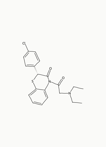 CCN(CC)CC(=O)N1C(=O)[C@@H](c2ccc(Cl)cc2)Sc2ccccc21